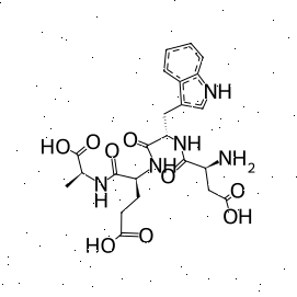 C[C@H](NC(=O)[C@H](CCC(=O)O)NC(=O)[C@H](Cc1c[nH]c2ccccc12)NC(=O)[C@@H](N)CC(=O)O)C(=O)O